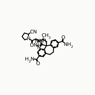 C[C@H](CC1(c2nnn[nH]2)c2ccc(C(N)=O)cc2CCc2cc(C(N)=O)ccc21)NCC(=O)N1CCCC1C#N